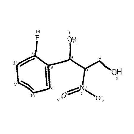 O=[N+]([O-])C(CO)C(O)c1ccccc1F